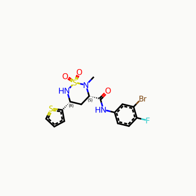 CN1[C@H](C(=O)Nc2ccc(F)c(Br)c2)C[C@H](c2cccs2)NS1(=O)=O